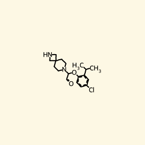 CC(C)c1cc(Cl)ccc1OC(C=O)N1CCC2(CC1)CNC2